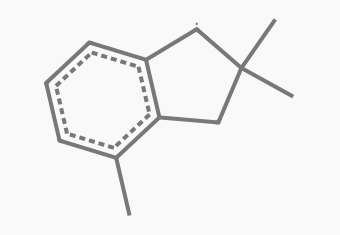 Cc1cccc2c1CC(C)(C)[CH]2